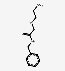 COCCNCC(=O)NCc1ccccc1